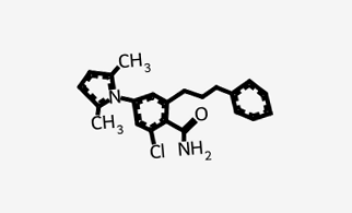 Cc1ccc(C)n1-c1cc(Cl)c(C(N)=O)c(CCCc2ccccc2)c1